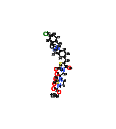 CC(C)(C)OC(=O)N1CCN(C(=O)CN2C(=O)SC(=Cc3ccc4c(cnn4Cc4ccc(Cl)cc4C(F)(F)F)c3)C2=O)S1(=O)=O